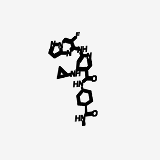 CNC(=O)[C@H]1CC[C@H](NC(=O)c2cnc(Nc3nc4ccnn4cc3F)cc2NC2CC2)CC1